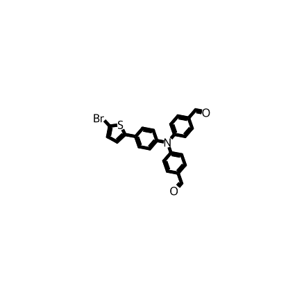 O=Cc1ccc(N(c2ccc(C=O)cc2)c2ccc(-c3ccc(Br)s3)cc2)cc1